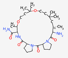 CC1OCCC(C)(C)OCCC(C)(C)C[C@H](C)C(N)C(=O)N2CCCC2C(=O)N2CCCC2C(=O)NC1C(N)=O